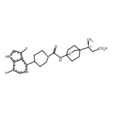 C[C@@H](CC(=O)O)C12CCC(NC(=O)N3CCC(c4ncc(F)c5[nH]cc(F)c45)CC3)(CC1)CC2